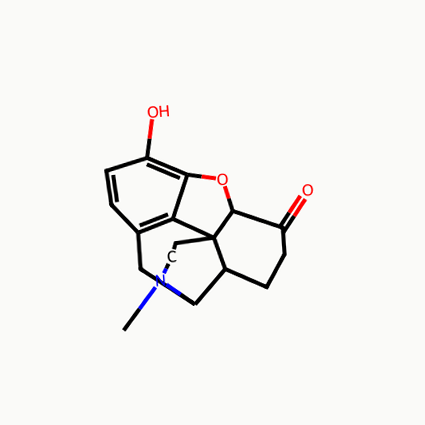 CN1CCC23c4c5ccc(O)c4OC2C(=O)CCC3C1C5